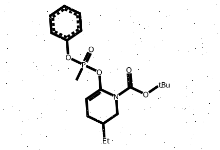 CCC1CC=C(OP(C)(=O)Oc2ccccc2)N(C(=O)OC(C)(C)C)C1